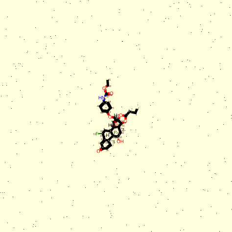 CCCC1O[C@@H]2C[C@H]3[C@@H]4C[C@H](F)C5=CC(=O)C=C[C@]5(C)[C@@]4(F)[C@@H](O)C[C@]3(C)[C@]2(C(=O)COc2ccc(NC(=O)OCC)cc2)O1